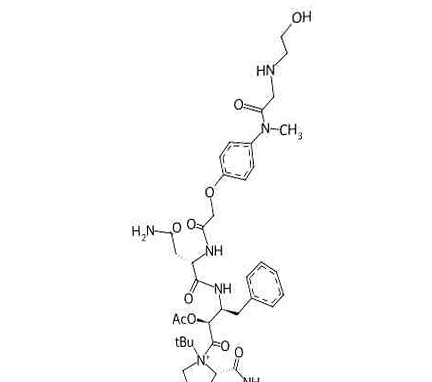 CC(=O)O[C@H](C(=O)[N+]1(C(C)(C)C)CCC[C@H]1C(N)=O)[C@H](Cc1ccccc1)NC(=O)[C@H](CC(N)=O)NC(=O)COc1ccc(N(C)C(=O)CNCCO)cc1